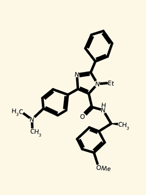 CCn1c(-c2ccccc2)nc(-c2ccc(N(C)C)cc2)c1C(=O)N[C@@H](C)c1cccc(OC)c1